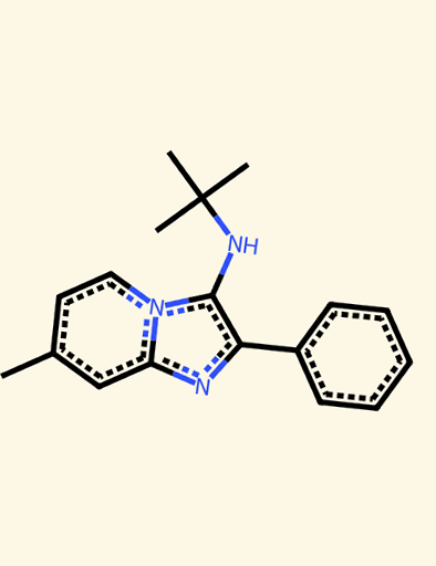 Cc1ccn2c(NC(C)(C)C)c(-c3ccccc3)nc2c1